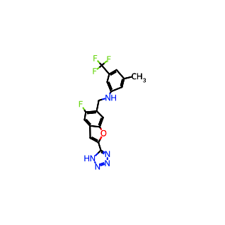 Cc1cc(NCc2cc3oc(-c4nnn[nH]4)cc3cc2F)cc(C(F)(F)F)c1